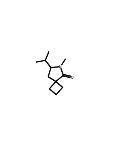 CC(C)C1CC2(CCC2)C(=O)N1C